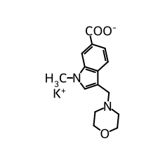 Cn1cc(CN2CCOCC2)c2ccc(C(=O)[O-])cc21.[K+]